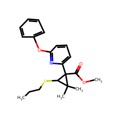 CCCSC1C(C)(C)C1(C(=O)OC)c1cccc(Oc2ccccc2)n1